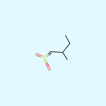 CCC(C)[C]=S(=O)=O